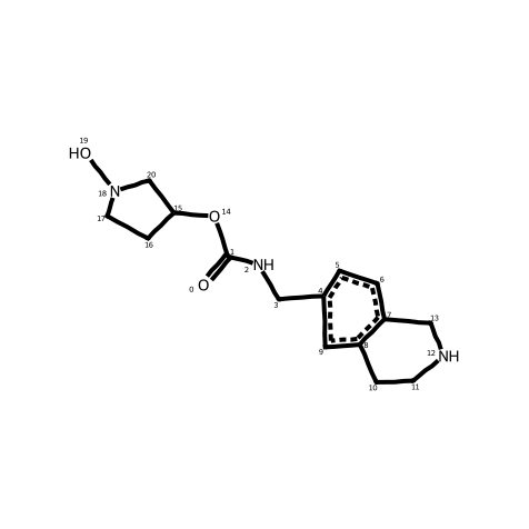 O=C(NCc1ccc2c(c1)CCNC2)OC1CCN(O)C1